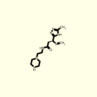 C=N[C@@H](CC(=O)NCCN1CCNCC1)c1nnc(C)[nH]1